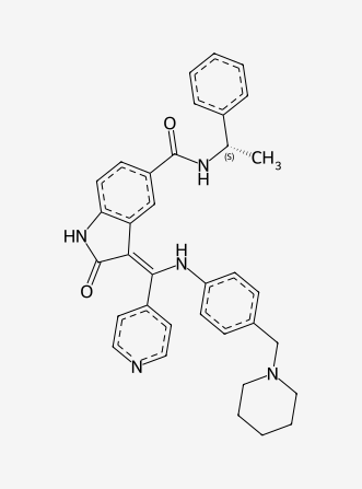 C[C@H](NC(=O)c1ccc2c(c1)C(=C(Nc1ccc(CN3CCCCC3)cc1)c1ccncc1)C(=O)N2)c1ccccc1